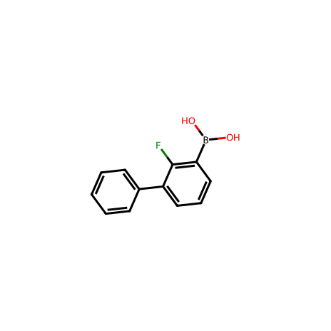 OB(O)c1cccc(-c2ccccc2)c1F